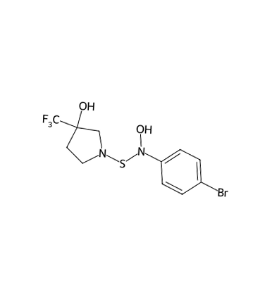 ON(SN1CCC(O)(C(F)(F)F)C1)c1ccc(Br)cc1